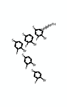 F.F.F.F.F.Fc1cc([S])ccc1Br.Fc1cc([S])ccc1Br.Fc1cc([S])ccc1Br.Fc1cc([S])ccc1Br.Fc1cc([S])ccc1Br